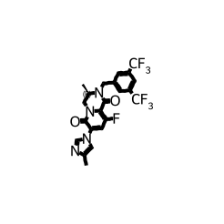 Cc1cn(-c2cc(F)c3n(c2=O)C[C@@H](C)N(Cc2cc(C(F)(F)F)cc(C(F)(F)F)c2)C3=O)cn1